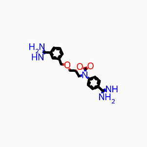 N=C(N)c1ccc(N2CC(COCc3cccc(C(=N)N)c3)OC2=O)cc1